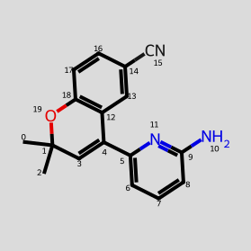 CC1(C)C=C(c2cccc(N)n2)c2cc(C#N)ccc2O1